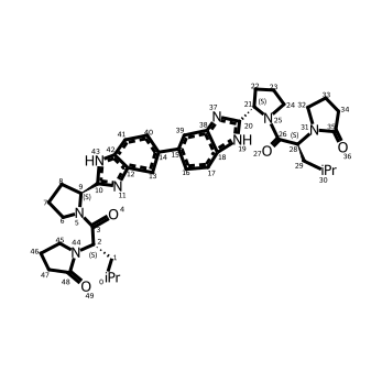 CC(C)C[C@@H](C(=O)N1CCC[C@H]1c1nc2cc(-c3ccc4[nH]c([C@@H]5CCCN5C(=O)[C@H](CC(C)C)N5CCCC5=O)nc4c3)ccc2[nH]1)N1CCCC1=O